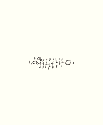 FC(F)(F)C(F)(OC(F)(F)C(F)(F)C(F)(F)C(F)(F)C(F)(F)C(F)(F)C(F)(F)C(F)(F)c1ccc(I)cc1)C(F)(F)F